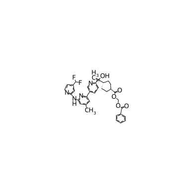 Cc1cc(Nc2cc(C(F)F)ccn2)nc(-c2ccc([C@](C)(O)[C@H]3CC[C@H](C(=O)OCOC(=O)c4ccccc4)CC3)nc2)c1